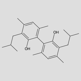 Cc1cc(C)c(-c2c(C)cc(C)c(CC(C)C)c2O)c(O)c1CC(C)C